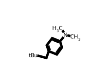 CN(C)c1ccc(CC(C)(C)C)cc1